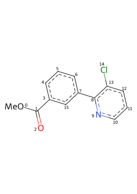 COC(=O)c1cccc(-c2ncccc2Cl)c1